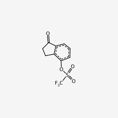 O=C1CCc2c(OS(=O)(=O)C(F)(F)F)cccc21